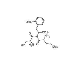 CSCCC(N)C(=O)N(C(=O)C(N)CC(C)C)C(Cc1ccccc1C=O)C(=O)O